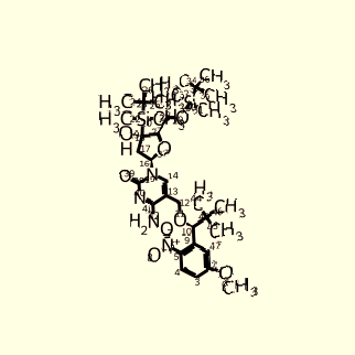 COc1ccc([N+](=O)[O-])c([C@@H](OCc2cn([C@H]3C[C@@](O)([Si](C)(C)C(C)(C)C)[C@@H](CO[Si](C)(C)C(C)(C)C)O3)c(=O)nc2N)C(C)(C)C)c1